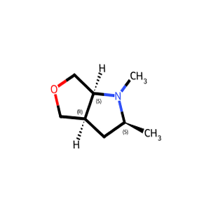 C[C@H]1C[C@H]2COC[C@H]2N1C